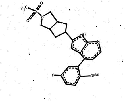 COc1ccc(F)cc1-c1ccnc2[nH]c(C3CC4CN(S(C)(=O)=O)CC4C3)cc12